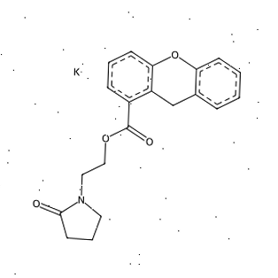 O=C(OCCN1CCCC1=O)c1cccc2c1Cc1ccccc1O2.[K]